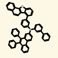 c1ccc(-c2cccc(N(c3cccc(-c4cccc5oc6c7ccccc7ccc6c45)c3)c3ccc4c(c3)c(-c3ccccc3)c(-c3ccccc3)c3ccccc34)c2)cc1